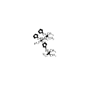 C[C](C)(C)[Dy][CH]1C=CC=C1.C[C](C)(C)[Dy][CH]1C=CC=C1.C[C](C)(C)[Dy][CH]1C=CC=C1